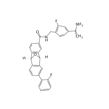 C=C(N)c1ccc(CNC(=O)c2ccc3c(c2)[C@@H]2O[C@H]3c3ccc(-c4ccccc4F)cc32)c(F)c1